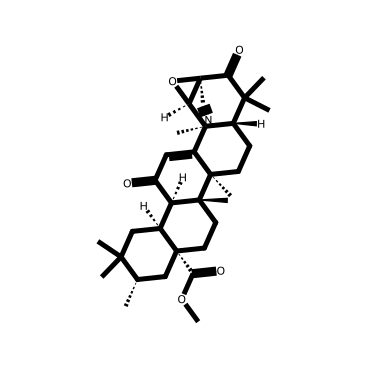 COC(=O)[C@@]12CC[C@]3(C)[C@H](C(=O)C=C4[C@@]5(C)[C@H]6O[C@@]6(C#N)C(=O)C(C)(C)[C@@H]5CC[C@]43C)[C@@H]1CC(C)(C)[C@@H](C)C2